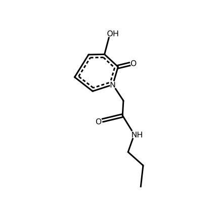 CCCNC(=O)Cn1cccc(O)c1=O